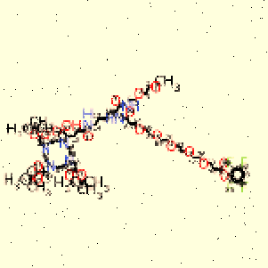 COCCOCCNC(=O)[C@@H](CCCCNC(=O)CCC(C(=O)O)N1CCN(CC(=O)OC(C)(C)C)CCN(CC(=O)OC(C)(C)C)CCN(CC(=O)OC(C)(C)C)CC1)NC(=O)CCOCCOCCOCCOCCOCCC(=O)Oc1c(F)c(F)cc(F)c1F